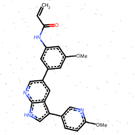 C=CC(=O)Nc1cc(OC)cc(-c2cnc3[nH]cc(-c4ccc(OC)nc4)c3c2)c1